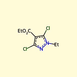 CCOC(=O)c1c(Cl)nn(CC)c1Cl